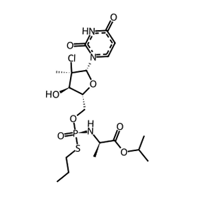 CCCS[P@@](=O)(N[C@H](C)C(=O)OC(C)C)OC[C@H]1O[C@@H](n2ccc(=O)[nH]c2=O)[C@](C)(Cl)[C@@H]1O